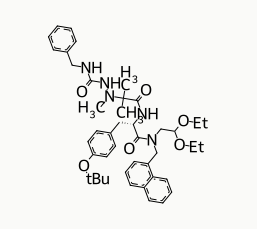 CCOC(CN(Cc1cccc2ccccc12)C(=O)[C@H](Cc1ccc(OC(C)(C)C)cc1)NC(=O)C(C)(C)N(C)NC(=O)NCc1ccccc1)OCC